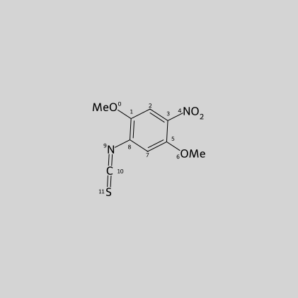 COc1cc([N+](=O)[O-])c(OC)cc1N=C=S